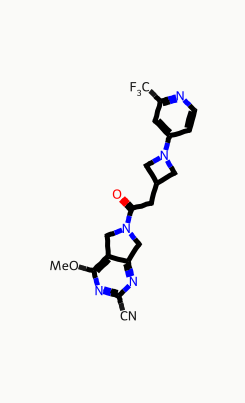 COc1nc(C#N)nc2c1CN(C(=O)CC1CN(c3ccnc(C(F)(F)F)c3)C1)C2